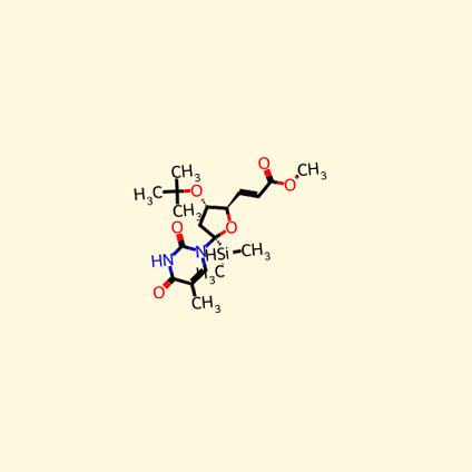 COC(=O)C=C[C@H]1O[C@](n2cc(C)c(=O)[nH]c2=O)([SiH](C)C)C[C@@H]1OC(C)(C)C